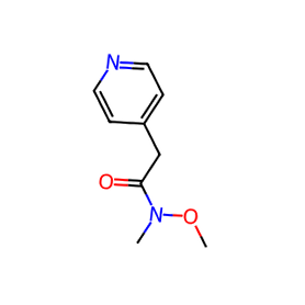 CON(C)C(=O)Cc1ccncc1